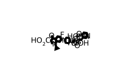 O=C(O)c1cn(C2CC2)c2cc(N3CCN(C(=O)OC(Cc4cccnc4)(P(=O)(O)O)P(=O)(O)O)CC3)c(F)cc2c1=O